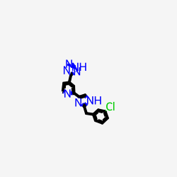 Clc1cccc(Cc2nc(-c3cc(-c4nn[nH]n4)ccn3)c[nH]2)c1